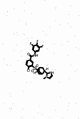 CN1C=CNC1[C@@H]1CC2CCC1C[C@@H]2S(=O)(=O)c1cc(C(=O)Nc2cc(F)c(F)c(F)c2)ccc1Cl